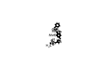 C=CS(=O)(=O)NCc1cnn(Cc2cc(OC)c3c(NS(=O)(=O)CC4CCCCC4)noc3c2)c1